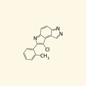 Cc1ccccc1C1=C(Cl)c2c3c(ccc2=N1)=NN=C3